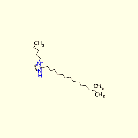 CCCCC[n+]1cc[nH]c1CCCCCCCCCCCCC(C)C